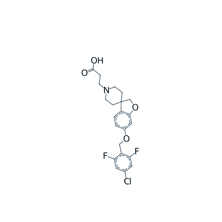 O=C(O)CCN1CCC2(CC1)COc1cc(OCc3c(F)cc(Cl)cc3F)ccc12